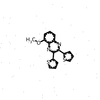 COc1cccc2nc(-c3cccs3)c(-c3cccs3)nc12